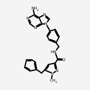 Cn1nc(C(=O)NCc2ccc(-n3cnc4c(N)ncnc43)cc2)cc1Cc1ccccc1